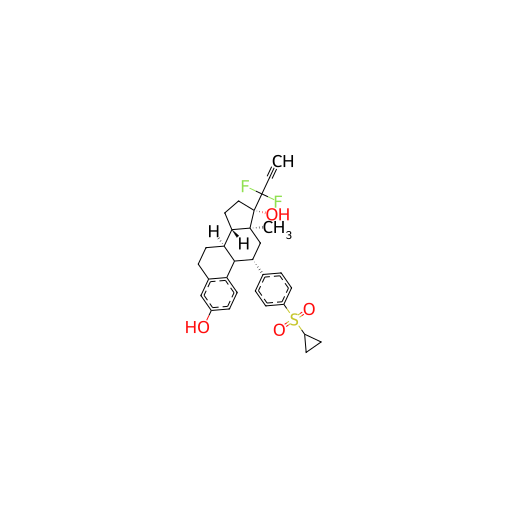 C#CC(F)(F)[C@]1(O)CC[C@H]2[C@@H]3CCc4cc(O)ccc4C3[C@@H](c3ccc(S(=O)(=O)C4CC4)cc3)C[C@@]21C